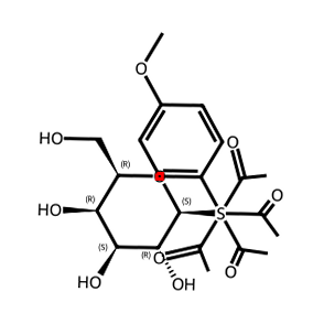 COc1ccc(S(C(C)=O)(C(C)=O)(C(C)=O)(C(C)=O)[C@@H]2O[C@H](CO)[C@H](O)[C@H](O)[C@H]2O)cc1